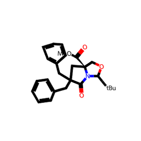 COC(=O)[C@@]12COC(C(C)(C)C)N1C(=O)C(Cc1ccccc1)(Cc1ccccc1)C2